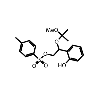 COC(C)(C)OC(COS(=O)(=O)c1ccc(C)cc1)c1ccccc1O